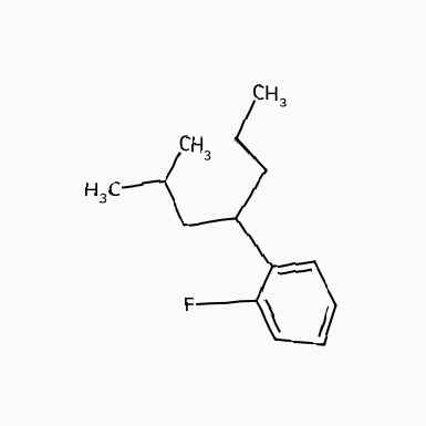 CCCC(CC(C)C)c1ccccc1F